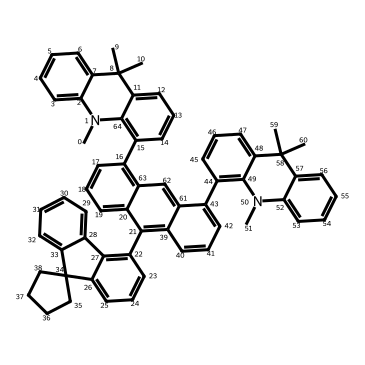 CN1c2ccccc2C(C)(C)c2cccc(-c3cccc4c(-c5cccc6c5-c5ccccc5C65CCCC5)c5cccc(-c6cccc7c6N(C)c6ccccc6C7(C)C)c5cc34)c21